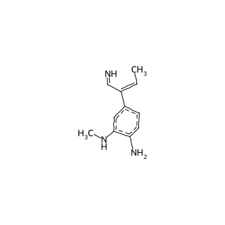 C/C=C(\C=N)c1ccc(N)c(NC)c1